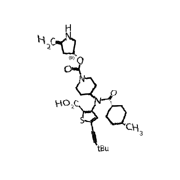 C=C1C[C@@H](OC(=O)N2CCC(N(c3cc(C#CC(C)(C)C)sc3C(=O)O)C(=O)[C@H]3CC[C@H](C)CC3)CC2)CN1